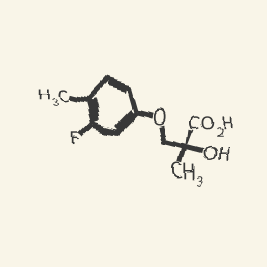 Cc1ccc(OC[C@@](C)(O)C(=O)O)cc1F